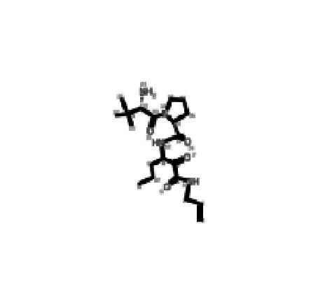 C=CCNC(=O)C(=O)C(CCC)NC(=O)[C@@H]1CCCN1C(=O)[C@@H](N)C(C)(C)C